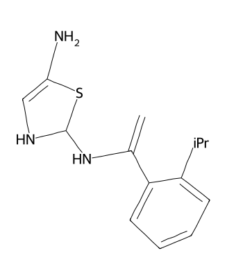 C=C(NC1NC=C(N)S1)c1ccccc1C(C)C